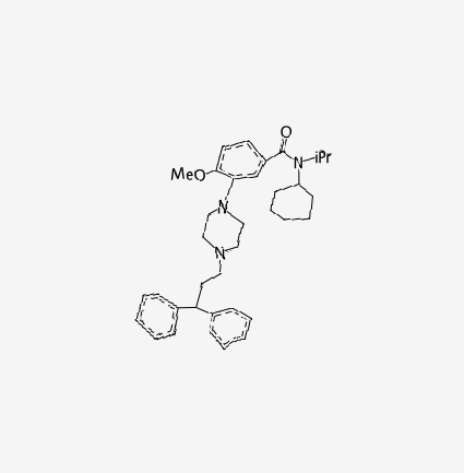 COc1ccc(C(=O)N(C(C)C)C2CCCCC2)cc1N1CCN(CCC(c2ccccc2)c2ccccc2)CC1